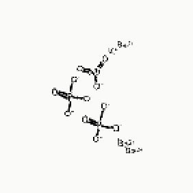 O=P([O-])([O-])[O-].O=P([O-])([O-])[O-].[Ba+2].[Ba+2].[Ba+2].[K+].[O]=[Nb](=[O])[O-]